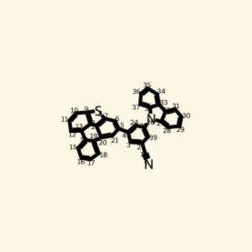 N#Cc1cc(-c2cc3sc4cccc5c6ccccc6c(c2)c3c45)cc(-n2c3ccccc3c3ccccc32)c1